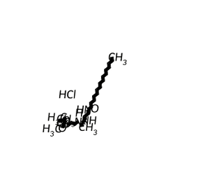 CCCCCCCCCCCCCCCC(=O)NCCNC(C)NCCC[Si](OC)(OC)OC.Cl